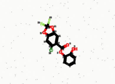 O=C(Oc1ccccc1O)c1cc2c(cc1Cl)OC(F)(F)O2